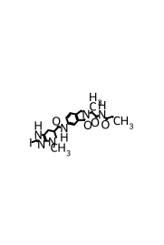 CCC(=O)NC(=O)C(C)N1Cc2ccc(NC(=O)C3Cc4[nH]c(I)nc4N(C)C3)cc2C1=O